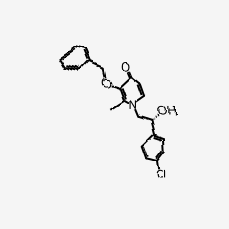 Cc1c(OCc2ccccc2)c(=O)ccn1C[C@H](O)c1ccc(Cl)cc1